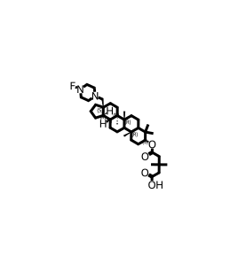 CC(C)(CC(=O)O)CC(=O)O[C@H]1CC[C@@]2(C)C(CC[C@]3(C)C2CC[C@@H]2[C@H]4CCC[C@]4(CN4CCN(F)CC4)CC[C@]23C)C1(C)C